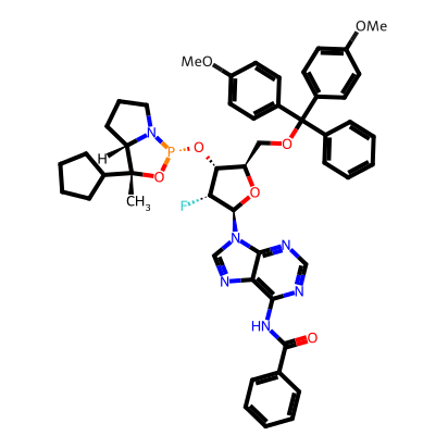 COc1ccc(C(OC[C@H]2O[C@@H](n3cnc4c(NC(=O)c5ccccc5)ncnc43)[C@H](F)[C@@H]2O[P@]2O[C@](C)(C3CCCC3)[C@@H]3CCCN32)(c2ccccc2)c2ccc(OC)cc2)cc1